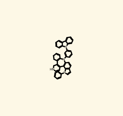 C1=CC2=C(CC1)C1=C(C=CNC1)c1c(ccc3ccn(-c4ccccc4)c13)N2c1cccc(-n2c3ccccc3c3ccccc32)c1